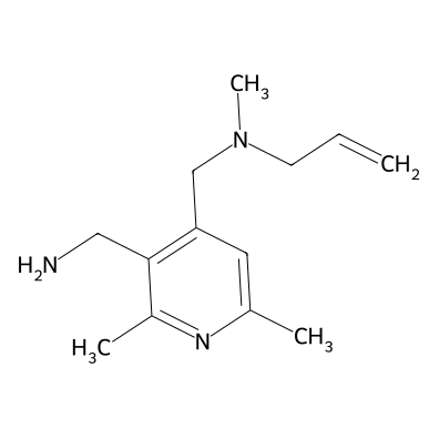 C=CCN(C)Cc1cc(C)nc(C)c1CN